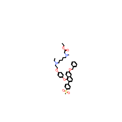 CCOC(=O)CN(C)CCCCCN(CC)CCOc1ccc(Oc2c(-c3ccc(S(C)(=O)=O)cc3)ccc3cc(OCc4ccccc4)ccc23)cc1